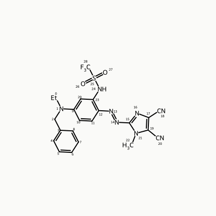 CCN(Cc1ccccc1)c1ccc(N=Nc2nc(C#N)c(C#N)n2C)c(NS(=O)(=O)C(F)(F)F)c1